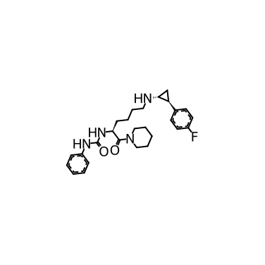 O=C(Nc1ccccc1)N[C@@H](CCCCN[C@@H]1C[C@H]1c1ccc(F)cc1)C(=O)N1CCCCC1